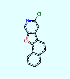 Clc1cc2c(cn1)oc1c3ccccc3ccc21